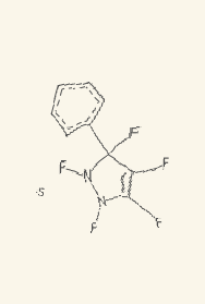 FC1=C(F)C(F)(c2ccccc2)N(F)N1F.[S]